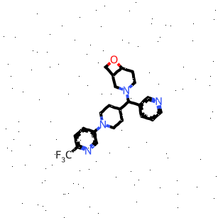 FC(F)(F)c1ccc(N2CCC(C(c3cccnc3)N3CCC4OCC4C3)CC2)cn1